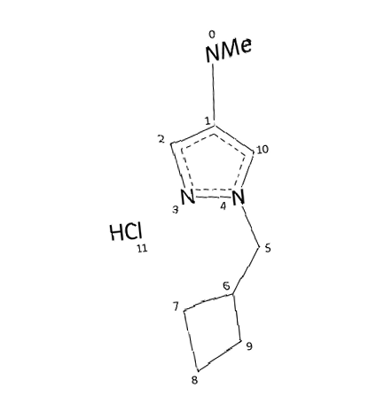 CNc1cnn(CC2CCC2)c1.Cl